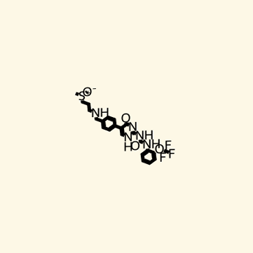 C[S+]([O-])CCCNCc1ccc(-c2c[nH]c(NC(=O)Nc3ccccc3OC(F)(F)F)nc2=O)cc1